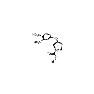 CC(C)(C)OC(=O)N1CCC(Oc2ccc(C(=O)O)c(C(=O)O)c2)C1